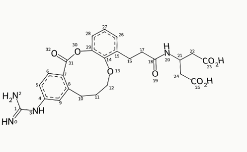 N=C(N)Nc1ccc2c(c1)CCCOc1c(CCC(=O)NC(CC(=O)O)CC(=O)O)cccc1OC2=O